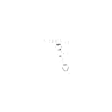 CC(=O)NC12CCC(NC(=O)COc3ccc(F)cc3)(CC1)C[C@@H]2O